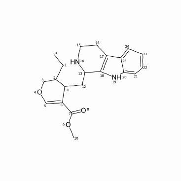 CCC1COC=C(C(=O)OC)C1CC1NCCc2c1[nH]c1ccccc21